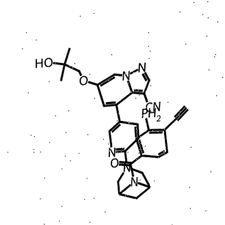 C#Cc1ccc(C(=O)N2C3CC2CN(c2ccc(-c4cc(OCC(C)(C)O)cn5ncc(C#N)c45)cn2)C3)cc1P